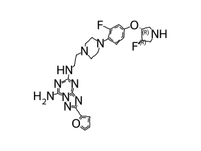 Nc1nc(NCCN2CCN(c3ccc(O[C@@H]4CNC[C@H]4F)cc3F)CC2)nc2nc(-c3ccco3)nn12